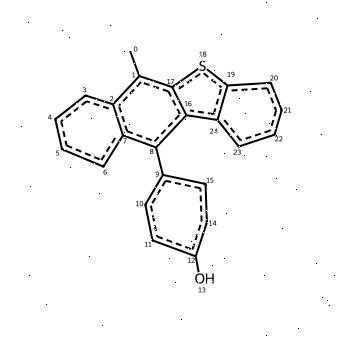 Cc1c2ccccc2c(-c2ccc(O)cc2)c2c1sc1ccccc12